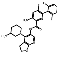 Nc1cc(F)c(-c2c(F)cccc2F)nc1C(=O)Nc1cnc2c(c1N1CCCC(N)C1)CCO2